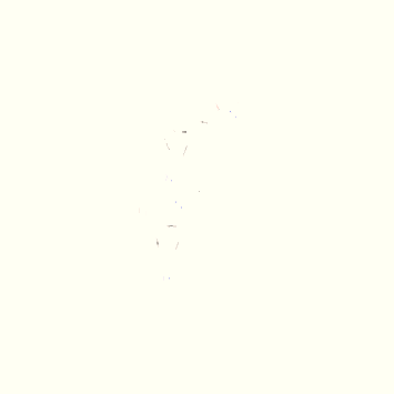 C[C@@H]1CN(Cc2ccc(C=CC(=O)NO)cc2)C[C@H](C)N1Cc1cccc(CN2CCOCC2)c1